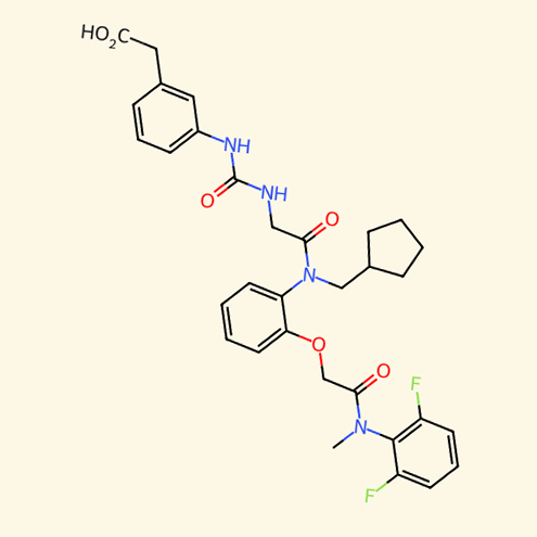 CN(C(=O)COc1ccccc1N(CC1CCCC1)C(=O)CNC(=O)Nc1cccc(CC(=O)O)c1)c1c(F)cccc1F